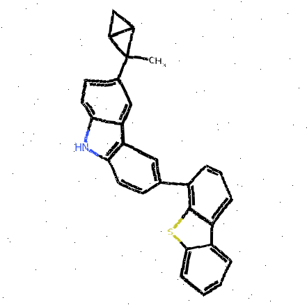 CC1(c2ccc3[nH]c4ccc(-c5cccc6c5sc5ccccc56)cc4c3c2)C2CC21